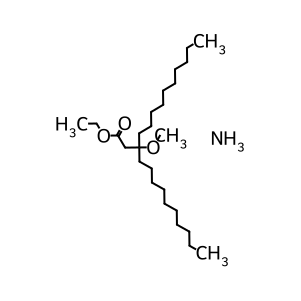 CCCCCCCCCCC(CCCCCCCCCC)(CC(=O)OCC)OC.N